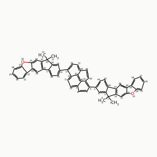 CC1(C)c2cc(-c3ccc4ccc5c(-c6ccc7c(c6)C(C)(C)c6cc8oc9ccccc9c8cc6-7)ccc6ccc3c4c65)ccc2-c2cc3c(cc21)oc1ccccc13